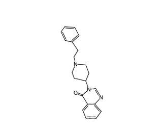 O=c1c2ccccc2ncn1C1CCN(CCc2ccccc2)CC1